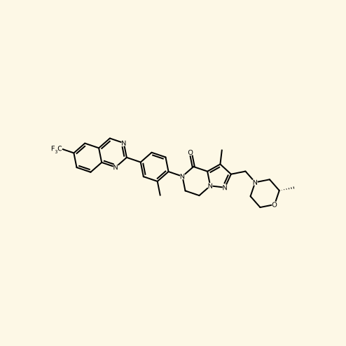 Cc1cc(-c2ncc3cc(C(F)(F)F)ccc3n2)ccc1N1CCn2nc(CN3CCO[C@@H](C)C3)c(C)c2C1=O